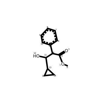 COC(=O)C(c1ccccc1)C(O)C1CC1